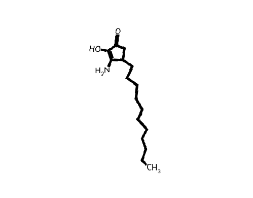 CCCCCCCCCCCC1CC(=O)C(O)=C1N